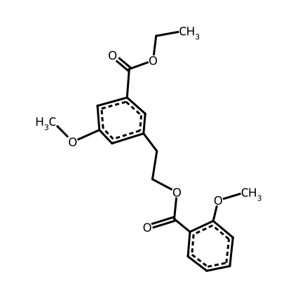 CCOC(=O)c1cc(CCOC(=O)c2ccccc2OC)cc(OC)c1